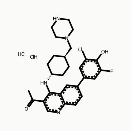 CC(=O)c1cnc2ccc(-c3cc(F)c(O)c(Cl)c3)cc2c1N[C@H]1CC[C@H](CN2CCNCC2)CC1.Cl.Cl